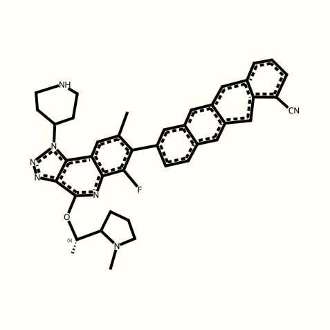 Cc1cc2c(nc(O[C@@H](C)C3CCCN3C)c3nnn(C4CCNCC4)c32)c(F)c1-c1ccc2cc3cc4c(C#N)cccc4cc3cc2c1